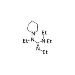 CCN=C(N(CC)CC)N(CC)N1CCCCC1